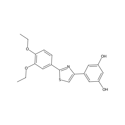 CCOc1ccc(-c2nc(-c3cc(O)cc(O)c3)cs2)cc1OCC